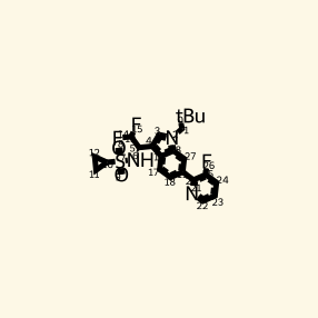 CC(C)(C)Cn1cc([C@H](NS(=O)(=O)C2CC2)C(F)F)c2ccc(-c3ncccc3F)cc21